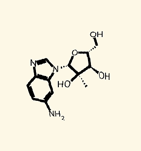 C[C@@]1(O)[C@H](O)[C@@H](CO)O[C@H]1n1cnc2ccc(N)cc21